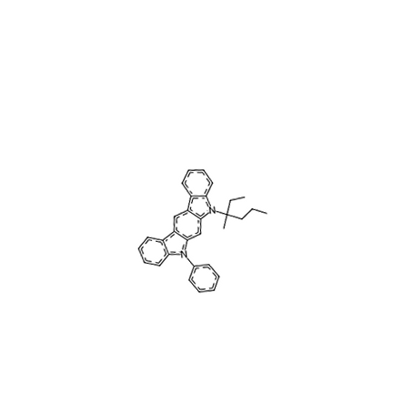 CCCC(C)(CC)n1c2ccccc2c2cc3c4ccccc4n(-c4ccccc4)c3cc21